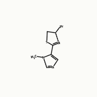 CC(C)C1CSC(c2cncn2C)=N1